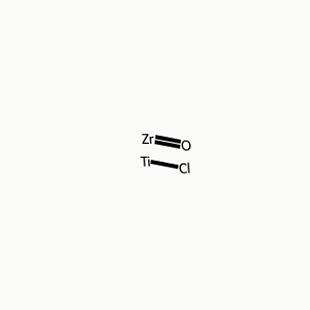 [Cl][Ti].[O]=[Zr]